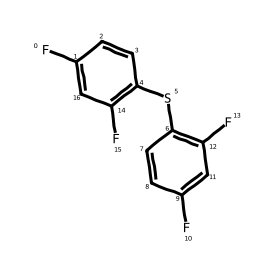 Fc1ccc(Sc2ccc(F)cc2F)c(F)c1